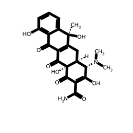 CN(C)[C@@H]1C(O)=C(C(N)=O)C(=O)[C@@]2(O)C(=O)C3=C(C[C@@H]12)[C@](C)(O)c1cccc(O)c1C3=O